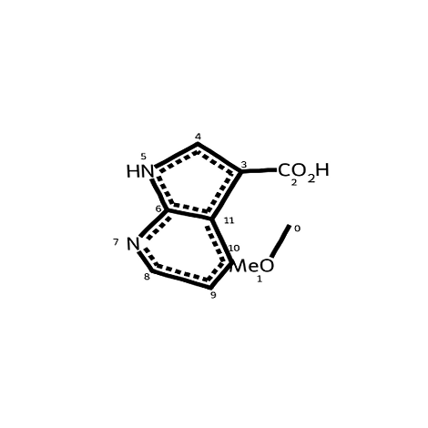 COC.O=C(O)c1c[nH]c2ncccc12